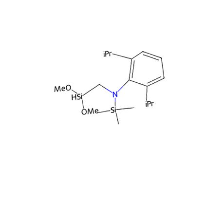 CO[SiH](CN(c1c(C(C)C)cccc1C(C)C)[Si](C)(C)C)OC